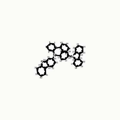 c1ccc(-c2ccccc2N(c2ccc(-n3c4ccccc4c4ccccc43)cc2)c2ccc3c(c2)sc2ccccc23)cc1